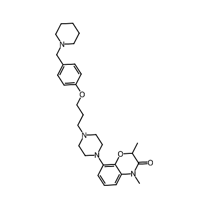 CC1Oc2c(N3CCN(CCCOc4ccc(CN5CCCCC5)cc4)CC3)cccc2N(C)C1=O